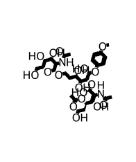 COc1ccc(O[C@@H](O)C(O[C@H](O)/C(NC(C)=O)=C(/O)[C@@H](CCO)OC(C)=O)C(O)[C@H](O)CCO[C@@H]2OC(CO)[C@@H](O)C(O)C2NC(C)=O)cc1